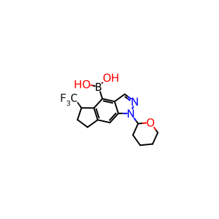 OB(O)c1c2c(cc3c1cnn3C1CCCCO1)CCC2C(F)(F)F